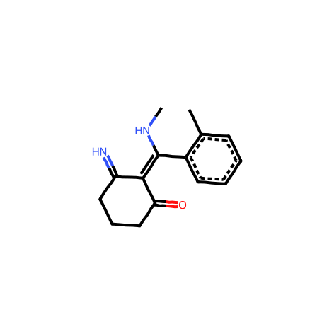 CN/C(=C1\C(=N)CCCC1=O)c1ccccc1C